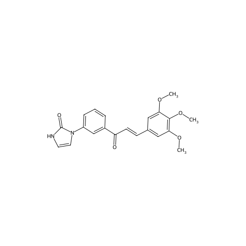 COc1cc(/C=C/C(=O)c2cccc(-n3cc[nH]c3=O)c2)cc(OC)c1OC